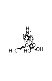 CCCCCO[C@H]1[C@H](O)[C@@H](CO)O[C@H]1n1cnc2c(N)ncnc21